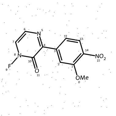 COc1cc(-c2nccn(F)c2=O)ccc1[N+](=O)[O-]